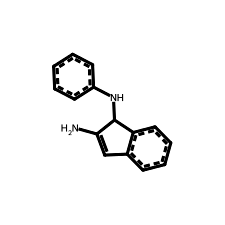 NC1=Cc2ccccc2C1Nc1ccccc1